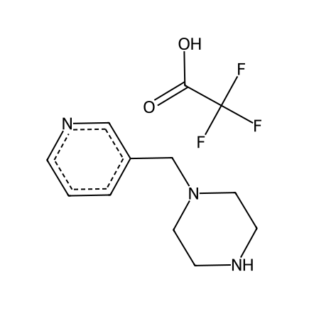 O=C(O)C(F)(F)F.c1cncc(CN2CCNCC2)c1